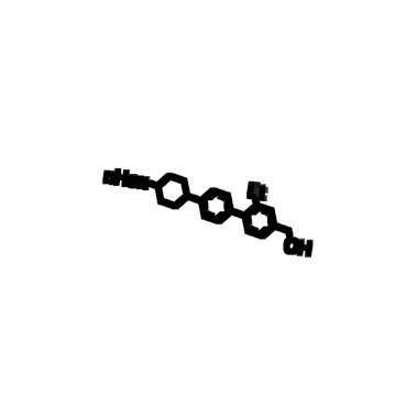 CCCCCCC1CCC(c2ccc(-c3ccc(CO)cc3CC)cc2)CC1